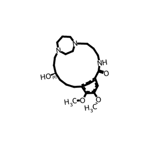 COc1cc2cc(c1OC)CCC[C@@H](O)CCN1CCCN(CCCNC2=O)CC1